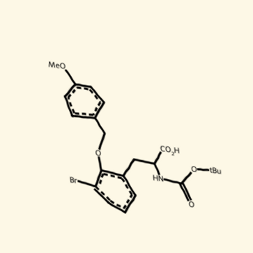 COc1ccc(COc2c(Br)cccc2CC(NC(=O)OC(C)(C)C)C(=O)O)cc1